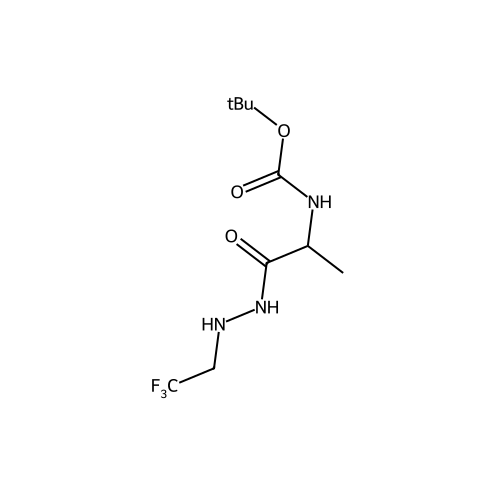 CC(NC(=O)OC(C)(C)C)C(=O)NNCC(F)(F)F